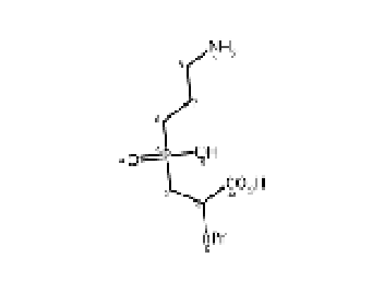 CCCC(CP(=O)(O)CCCN)C(=O)O